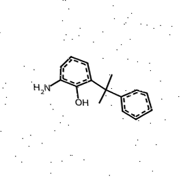 CC(C)(c1ccccc1)c1cccc(N)c1O